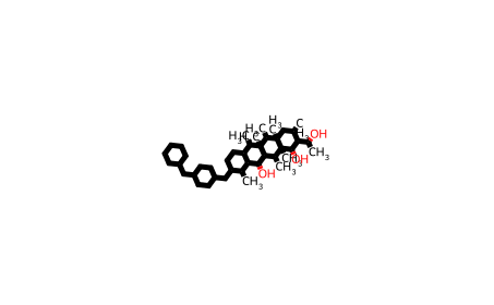 CC(O)C1C(C)CC2(C)C(C)C3(C)C(C)C4CCC(CC5CCC(CC6CCCCC6)CC5)C(C)C4C(O)C3C(C)C2(C)C1O